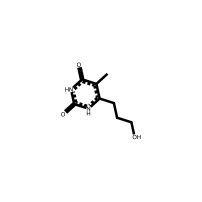 Cc1c(CCCO)[nH]c(=O)[nH]c1=O